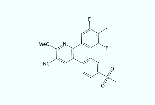 COc1nc(-c2cc(F)c(C)c(F)c2)c(-c2ccc(S(C)(=O)=O)cc2)cc1C#N